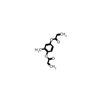 C=CC(=O)Oc1ccc(OC(=O)C=C)c(C)c1